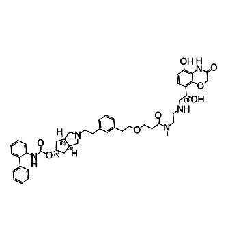 CN(CCNC[C@H](O)c1ccc(O)c2c1OCC(=O)N2)C(=O)CCOCCc1cccc(CCN2C[C@H]3C[C@H](OC(=O)Nc4ccccc4-c4ccccc4)C[C@H]3C2)c1